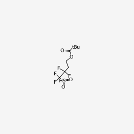 CC(C)(C)C(=O)OCCC(F)(F)C(F)(F)[SH](=O)=O